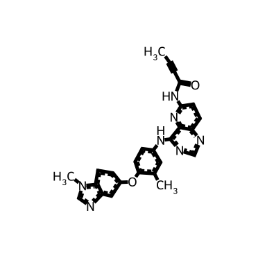 CC#CC(=O)Nc1ccc2ncnc(Nc3ccc(Oc4ccc5c(c4)ncn5C)c(C)c3)c2n1